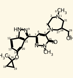 CN1CCN(c2cc(-c3n[nH]c4ccc(OC5(C)CC5)cc34)nn(C)c2=O)CC(CO)C1